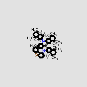 Cc1cc2c3c(c1)N(c1cccc4sc5ccccc5c14)c1cc4c(cc1B3c1cc3c(cc1N2c1ccc2c(c1)C(C)(C)CCC2(C)C)C(C)(C)CCC3(C)C)C(C)(C)CCC4(C)C